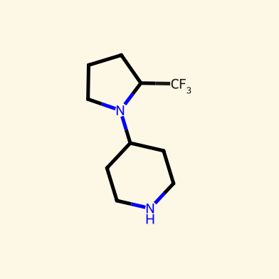 FC(F)(F)C1CCCN1C1CCNCC1